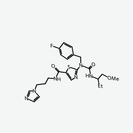 CCC(COC)NC(=O)N(Cc1ccc(F)cc1)c1ncc(C(=O)NCCCn2ccnc2)s1